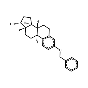 C[C@]12CC[C@@H]3c4ccc(OCc5ccccc5)cc4CC[C@H]3[C@@H]1CC[C@H]2O